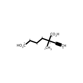 C#CC(C)(CCCC(=O)O)C(=O)O